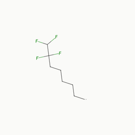 [CH2]CCCCCC(F)(F)C(F)F